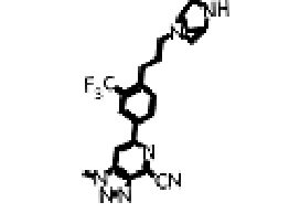 Cn1nnc2c(C#N)nc(-c3ccc(CCCN4CC5CC4CN5)c(C(F)(F)F)c3)cc21